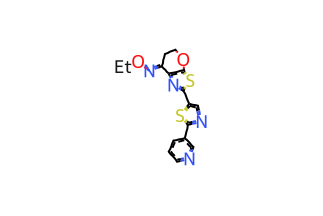 CCO/N=C1\CCOc2sc(-c3cnc(-c4cccnc4)s3)nc21